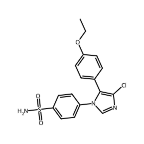 CCOc1ccc(-c2c(Cl)ncn2-c2ccc(S(N)(=O)=O)cc2)cc1